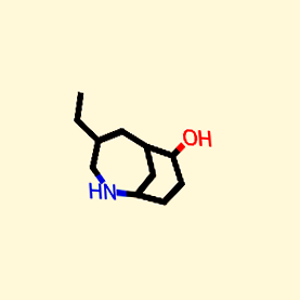 CCC1CNC2CCC(O)C(C1)C2